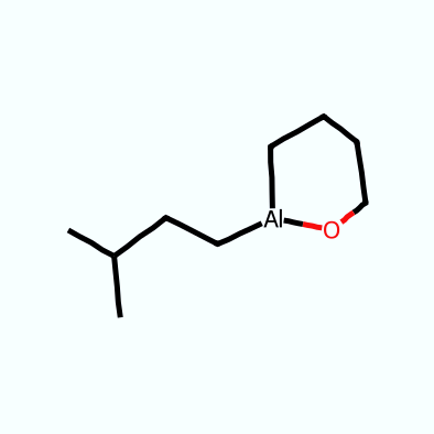 CC(C)C[CH2][Al]1[CH2]CCC[O]1